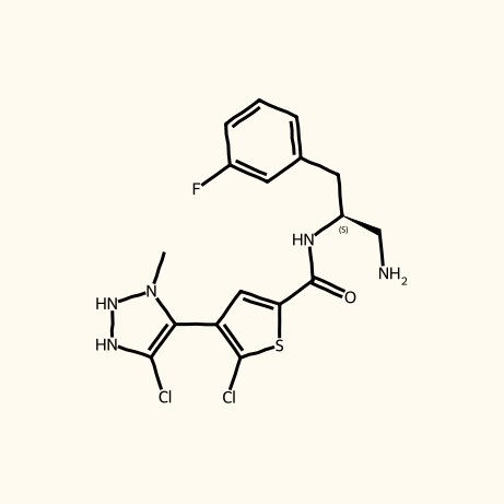 CN1NNC(Cl)=C1c1cc(C(=O)N[C@H](CN)Cc2cccc(F)c2)sc1Cl